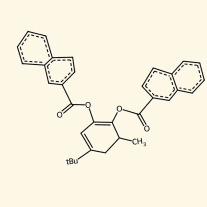 CC1CC(C(C)(C)C)=CC(OC(=O)c2ccc3ccccc3c2)=C1OC(=O)c1ccc2ccccc2c1